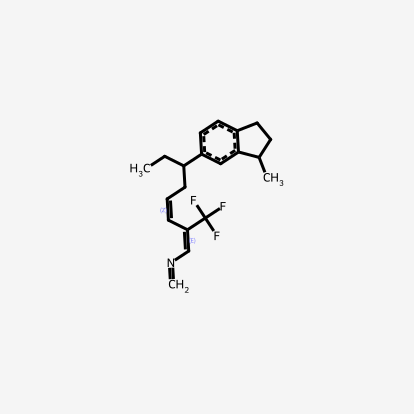 C=N/C=C(\C=C/CC(CC)c1ccc2c(c1)C(C)CC2)C(F)(F)F